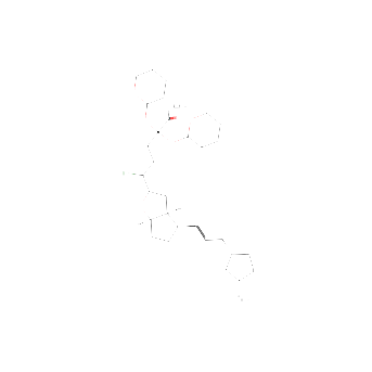 CCCC[C@H]1CC[C@H](C/C=C/[C@H]2CC[C@@H]3OC(C(Br)CCC(OC4CCCCO4)(OC4CCCCO4)C(=O)OC)C[C@@H]32)C1